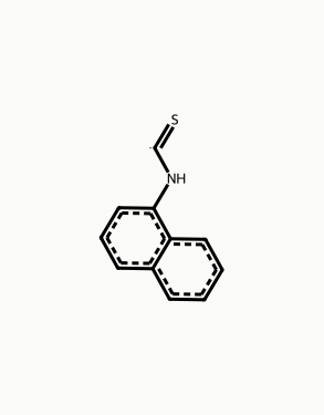 S=[C]Nc1cccc2ccccc12